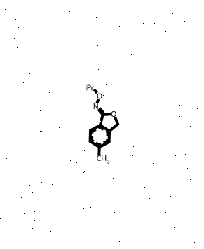 Cc1ccc2c(c1)CO/C2=N\OC(C)C